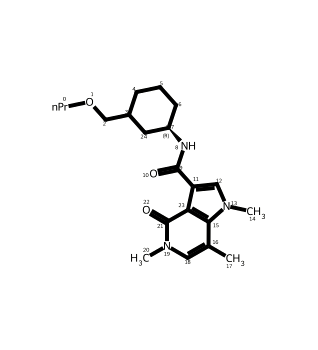 CCCOCC1CCC[C@@H](NC(=O)c2cn(C)c3c(C)cn(C)c(=O)c23)C1